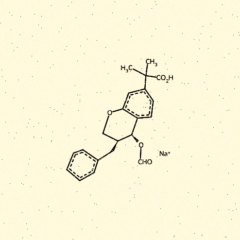 CC(C)(C(=O)O)c1ccc2c(c1)OC[C@H](Cc1ccccc1)[C@@H]2O[C-]=O.[Na+]